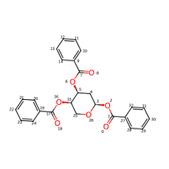 O=C(O[C@@H]1C[C@H](OC(=O)c2ccccc2)[C@H](OC(=O)c2ccccc2)CO1)c1ccccc1